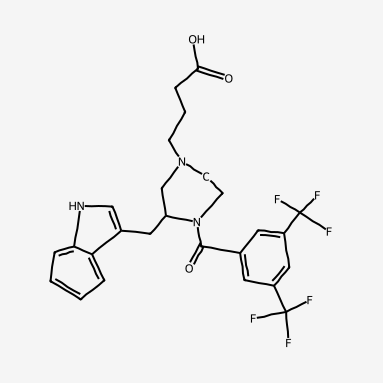 O=C(O)CCCN1CCN(C(=O)c2cc(C(F)(F)F)cc(C(F)(F)F)c2)C(Cc2c[nH]c3ccccc23)C1